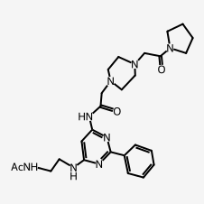 CC(=O)NCCNc1cc(NC(=O)CN2CCN(CC(=O)N3CCCC3)CC2)nc(-c2ccccc2)n1